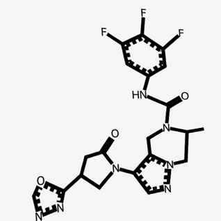 CC1Cn2ncc(N3CC(c4nnco4)CC3=O)c2CN1C(=O)Nc1cc(F)c(F)c(F)c1